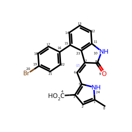 Cc1cc(C(=O)O)c(/C=C2\C(=O)Nc3cccc(-c4ccc(Br)cc4)c32)[nH]1